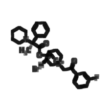 C[C@@](C(=O)O[C@H]1C[N+]2(CC(=O)c3cccc(F)c3)CCC1CC2)(c1ccccc1)N1CCCCC1.[Br-]